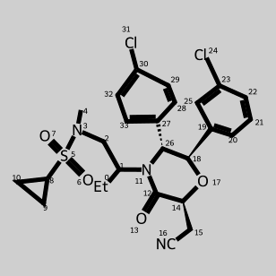 CCC(CN(C)S(=O)(=O)C1CC1)N1C(=O)[C@H](CC#N)O[C@H](c2cccc(Cl)c2)[C@H]1c1ccc(Cl)cc1